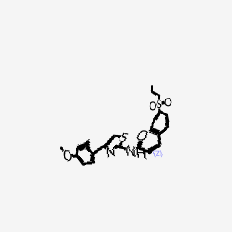 CCCS(=O)(=O)c1ccc(/C=C\C(=O)Nc2nc(-c3ccc(OC)cc3)cs2)cc1